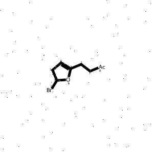 CC(=O)CCC1=CCC(Br)O1